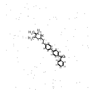 C=C(C)C(C)CC(CCc1ccc(-c2ccc(C(=O)c3ccccc3)cc2)cc1)C(C)=O